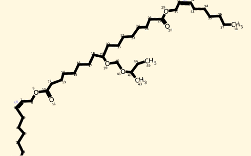 CCCCCC/C=C\COC(=O)CCCCCCCC(CCCCCCCC(=O)OC/C=C\CCCCCC)OCOC(C)CC